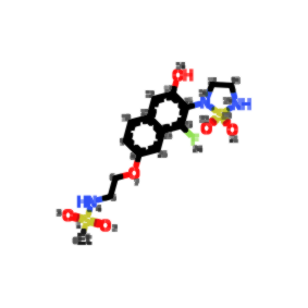 CCS(=O)(=O)NCCOc1ccc2cc(O)c(N3CCNS3(=O)=O)c(F)c2c1